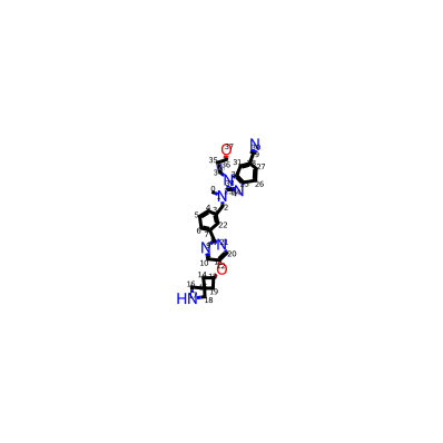 CN(Cc1cccc(-c2ncc(OC3CC4(CNC4)C3)cn2)c1)c1nc2ccc(C#N)cc2n1/C=C\C=O